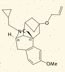 C=CCOC12CC(C1)C1[C@H]3Cc4ccc(OC)cc4[C@@]1(CCN3CC1CC1)C2